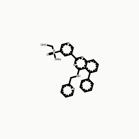 CN[SH](=O)(CC=O)c1cncc(-c2nc(NCc3ccccn3)c3c(-c4ccccc4)cccc3n2)c1